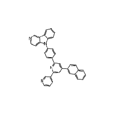 c1cncc(-c2cc(-c3ccc4ccccc4c3)cc(-c3ccc(-n4c5ccccc5c5cnccc54)cc3)n2)c1